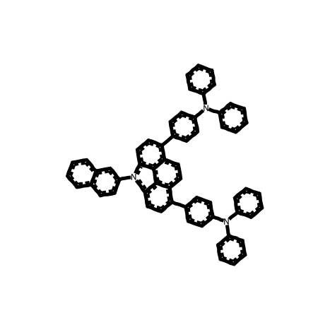 c1ccc(N(c2ccccc2)c2ccc(-c3ccc4c5c3ccc3c(-c6ccc(N(c7ccccc7)c7ccccc7)cc6)ccc(c35)n4-c3ccc4ccccc4c3)cc2)cc1